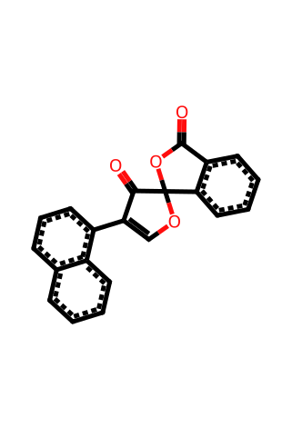 O=C1OC2(OC=C(c3cccc4ccccc34)C2=O)c2ccccc21